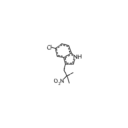 CC(C)(Cc1c[nH]c2ccc(Cl)cc12)[N+](=O)[O-]